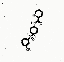 O=C(N[C@H]1CC[C@@](F)(S(=O)(=O)c2cccc(C(F)(F)F)c2)CC1)C1CCCCN1